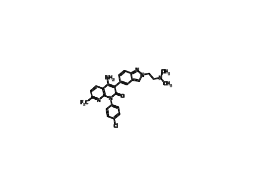 CN(C)CCn1cc2cc(-c3c(N)c4ccc(C(F)(F)F)nc4n(-c4ccc(Cl)cc4)c3=O)ccc2n1